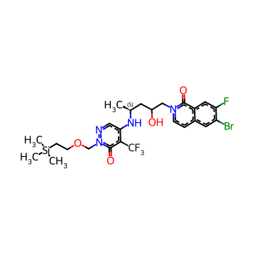 C[C@@H](CC(O)Cn1ccc2cc(Br)c(F)cc2c1=O)Nc1cnn(COCC[Si](C)(C)C)c(=O)c1C(F)(F)F